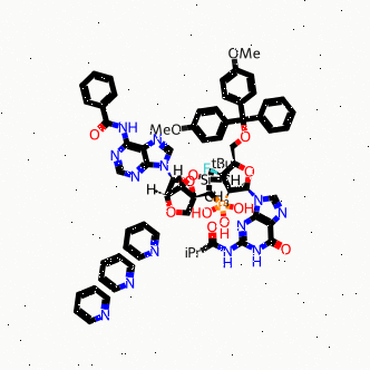 COc1ccc(C(OC[C@H]2O[C@@H](n3cnc4c(=O)[nH]c(NC(=O)C(C)C)nc43)[C@H](P(O)(O)(O)C[C@]34CO[C@@H]([C@H](n5cnc6c(NC(=O)c7ccccc7)ncnc65)O3)[C@@H]4O[Si](C)(C)C(C)(C)C)[C@H]2F)(c2ccccc2)c2ccc(OC)cc2)cc1.c1ccncc1.c1ccncc1.c1ccncc1